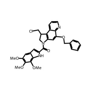 COc1cc2cc(C(=O)N3CC(CCl)c4c3cc(OCc3ccccc3)c3ncccc43)[nH]c2c(OC)c1OC